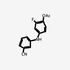 CC(=O)Oc1ccc(Nc2cccc(C#N)c2)cc1F